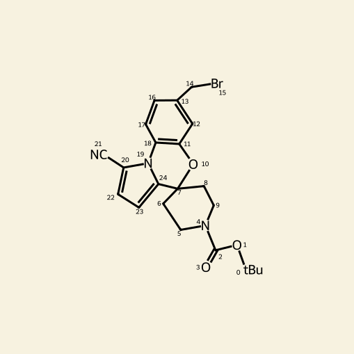 CC(C)(C)OC(=O)N1CCC2(CC1)Oc1cc(CBr)ccc1-n1c(C#N)ccc12